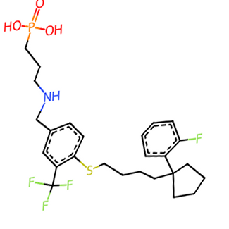 O=P(O)(O)CCCNCc1ccc(SCCCCC2(c3ccccc3F)CCCC2)c(C(F)(F)F)c1